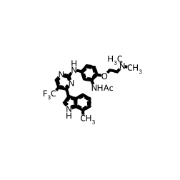 CC(=O)Nc1cc(Nc2ncc(C(F)(F)F)c(-c3c[nH]c4c(C)cccc34)n2)ccc1OCCN(C)C